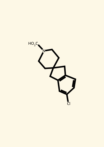 O=C(O)N1CCC2(CC1)Cc1ccc(Cl)cc1C2